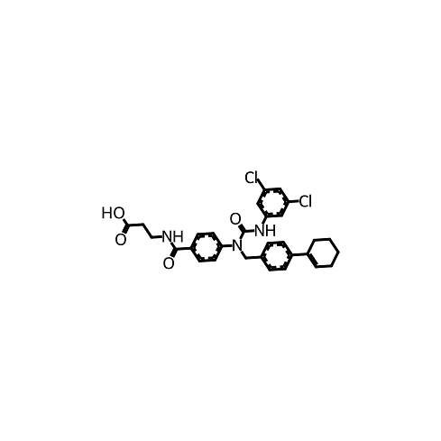 O=C(O)CCNC(=O)c1ccc(N(Cc2ccc(C3=CCCCC3)cc2)C(=O)Nc2cc(Cl)cc(Cl)c2)cc1